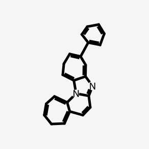 C1=CCC=c2ccc3nc4c(n3c2=C1)=CCC=C(c1ccccc1)C=4